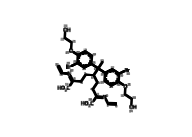 C=CN=C(CCC(CCC(=NC=C)C(=O)O)C(C)(c1ccc(OCCO)c(Br)c1)c1ccc(OCCO)c(Br)c1)C(=O)O